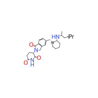 CC(C)CC(C)NC1CCCC[C@@H]1Cc1ccc2c(c1)CN(C1CCC(=O)NC1=O)C2=O